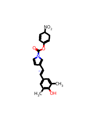 Cc1cc(/C=C/c2ccn(C(=O)OC3=CCC([N+](=O)[O-])C=C3)c2)cc(C)c1O